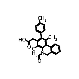 Cc1ccc(-c2c(C)c3c(c(C)c2CC(=O)O)N(C=O)Cc2ccccc2-3)cc1